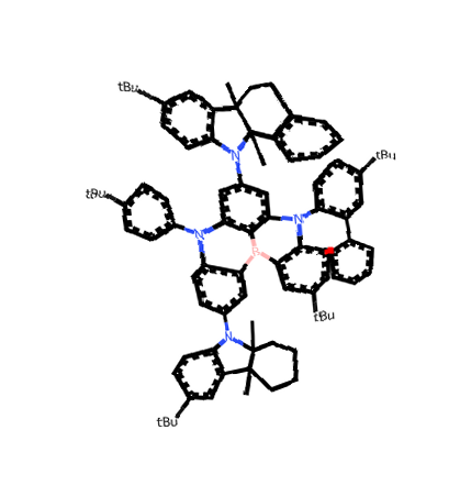 CC(C)(C)c1ccc(N2c3ccc(N4c5ccc(C(C)(C)C)cc5C5(C)CCCCC45C)cc3B3c4cc(C(C)(C)C)ccc4N(c4ccc(C(C)(C)C)cc4-c4ccccc4)c4cc(N5c6ccc(C(C)(C)C)cc6C6(C)CCc7ccccc7C56C)cc2c43)cc1